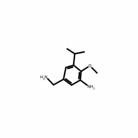 COc1c(N)cc(CN)cc1C(C)C